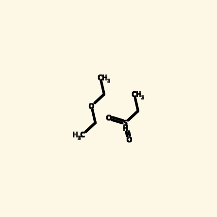 CCOCC.CC[SH](=O)=O